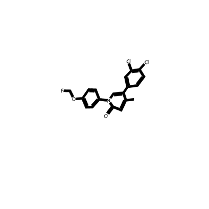 Cc1cc(=O)n(-c2ccc(OCF)cc2)cc1-c1ccc(Cl)c(Cl)c1